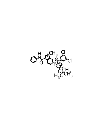 Cn1cc(C(=O)Nc2ccccc2)c2ccc(N(CC(=O)OC(C)(C)C)S(=O)(=O)c3cc(Cl)cc(Cl)c3)cc21